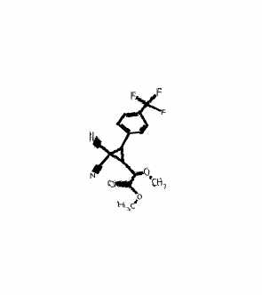 COC(=O)C(OC)C1C(c2ccc(C(F)(F)F)cc2)C1(C#N)C#N